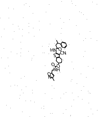 Cc1cc(CNC(=O)OC2CCc3c(sc(NC(=O)CC(C)c4ccccc4)c3C#N)C2)on1